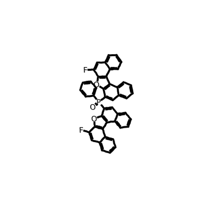 O=P(c1ccccc1)(c1cc2ccccc2c2c1oc1c(F)cc3ccccc3c12)c1cc2ccccc2c2c1oc1c(F)cc3ccccc3c12